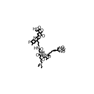 CCN(CC)CCCCC(NC(=O)C(NC(=O)CCCC#Cc1cnc(S(C)(=O)=O)nc1)C(C)C)C(=O)NCC(=O)NCCCc1c2c(nc3cc(F)c(C)cc13)-c1cc3c(c(=O)n1C2)COC(=O)[C@]3(O)CC